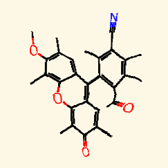 COc1c(C)cc2c(-c3c(C)c(C#N)c(C)c(C)c3C(C)=O)c3cc(C)c(=O)c(C)c-3oc2c1C